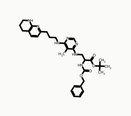 Cc1c(NCCCc2ccc3c(n2)NCCC3)ncnc1NCC(NC(=O)OCc1ccccc1)C(=O)OC(C)(C)C